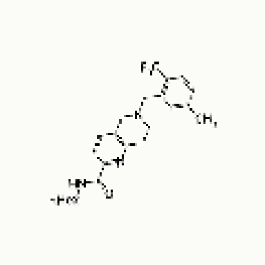 CCCCCCNC(=O)c1ccc2c(n1)CCN(Cc1cc(C)ccc1C(F)(F)F)C2